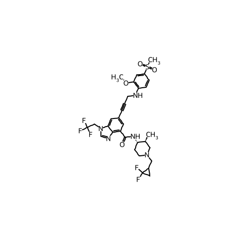 COc1cc(S(C)(=O)=O)ccc1NCC#Cc1cc(C(=O)N[C@H]2CCN(CC3CC3(F)F)C[C@@H]2C)c2ncn(CC(F)(F)F)c2c1